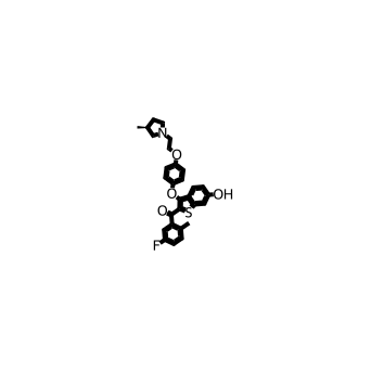 Cc1ccc(F)cc1C(=O)c1sc2cc(O)ccc2c1Oc1ccc(OCCN2CC[C@H](C)C2)cc1